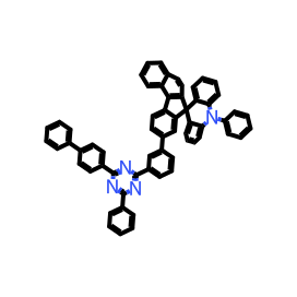 c1ccc(-c2ccc(-c3nc(-c4ccccc4)nc(-c4cccc(-c5ccc6c(c5)C5(c7ccccc7N(c7ccccc7)c7ccccc75)c5ccc7ccccc7c5-6)c4)n3)cc2)cc1